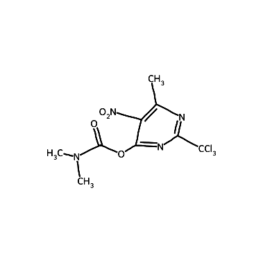 Cc1nc(C(Cl)(Cl)Cl)nc(OC(=O)N(C)C)c1[N+](=O)[O-]